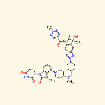 CN(C[C@H]1CC[C@H](n2cc3cc(NC(=O)c4cnc(C(F)(F)F)nc4)c(C(C)(C)O)cc3n2)CC1)C1CCN(c2cccc3c2n(C)c(=O)n3C2CCC(=O)NC2=O)CC1